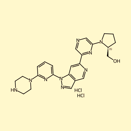 Cl.Cl.OC[C@@H]1CCCN1c1cncc(-c2cc3c(cn2)cnn3-c2cccc(N3CCNCC3)n2)n1